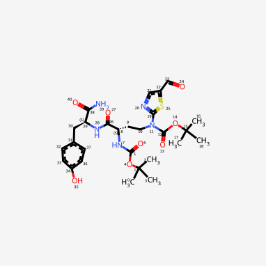 CC(C)(C)OC(=O)N[C@@H](CCN(C(=O)OC(C)(C)C)c1ncc(C=O)s1)C(=O)N[C@@H](Cc1ccc(O)cc1)C(N)=O